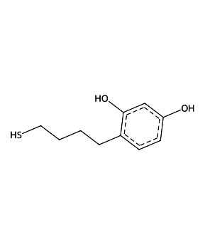 Oc1ccc(CCCCS)c(O)c1